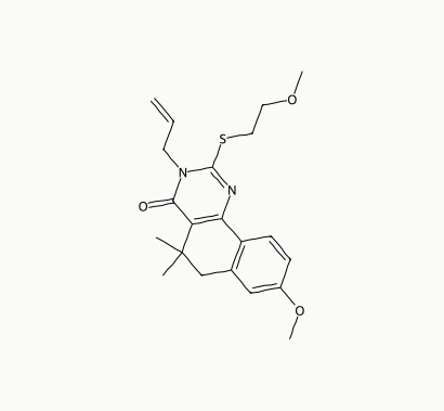 C=CCn1c(SCCOC)nc2c(c1=O)C(C)(C)Cc1cc(OC)ccc1-2